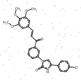 COc1cc(/C=C/C(=O)c2cccc(-n3cc(-c4ccc(Cl)cc4)[nH]c3=O)c2)cc(OC)c1OC